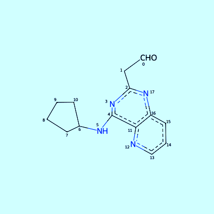 O=CCc1nc(NC2CCCC2)c2ncccc2n1